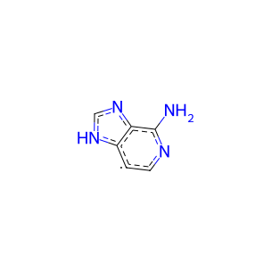 Nc1nc[c]c2[nH]cnc12